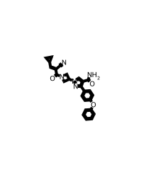 N#CC(=CC1CC1)C(=O)N1CC(n2cc(C(N)=O)c(-c3ccc(Oc4ccccc4)cc3)n2)C1